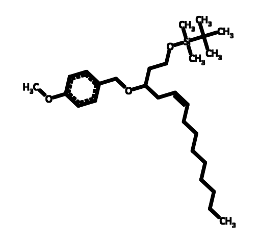 CCCCCCCC/C=C\CC(CCO[Si](C)(C)C(C)(C)C)OCc1ccc(OC)cc1